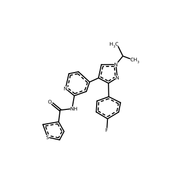 CC(C)n1cc(-c2ccnc(NC(=O)c3ccsc3)c2)c(-c2ccc(F)cc2)n1